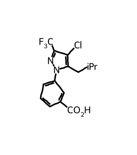 CC(C)Cc1c(Cl)c(C(F)(F)F)nn1-c1cccc(C(=O)O)c1